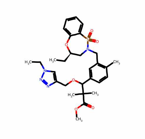 CC[C@@H]1CN(Cc2cc(C(OCc3cn(CC)nn3)C(C)(C)C(=O)OC)ccc2C)S(=O)(=O)c2ccccc2O1